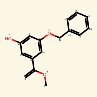 C=C(OC)c1cc(O)cc(OCc2ccccc2)c1